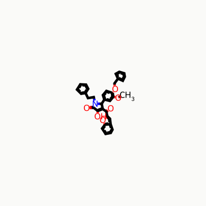 COc1cc(C2C(C(=O)c3cc4ccccc4o3)=C(O)C(=O)N2CCc2ccccc2)ccc1OCc1ccccc1